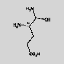 NC(O)[C@@H](N)CCC(=O)O